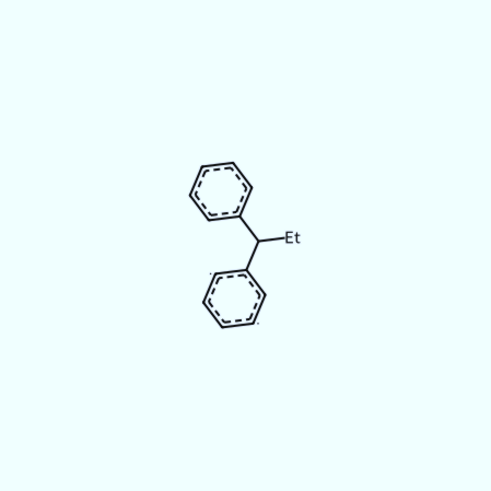 CCC(c1[c]cc[c]c1)c1ccccc1